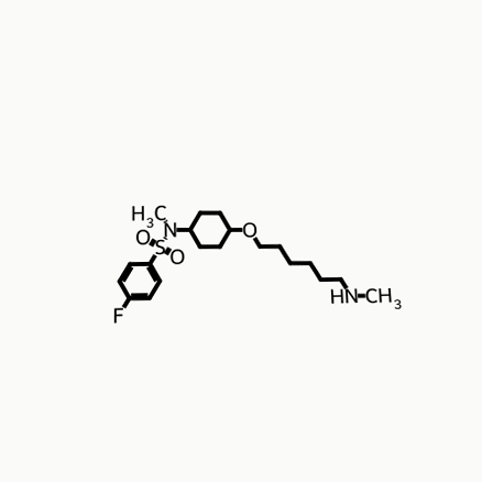 CNCCCCCCOC1CCC(N(C)S(=O)(=O)c2ccc(F)cc2)CC1